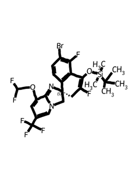 CC(C)(C)[Si](C)(C)OC1=C(F)C[C@@]2(CN3C=C(C(F)(F)F)C=C(OC(F)F)C3=N2)c2ccc(Br)c(F)c21